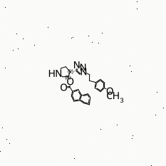 COc1ccc(CCn2cc([C@H]3CCNC[C@@H]3OC(=O)c3ccc4ccccc4c3)nn2)cc1